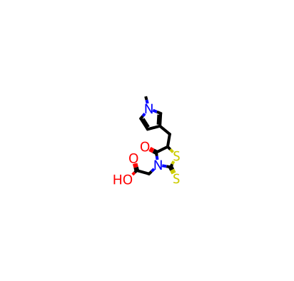 Cn1ccc(CC2SC(=S)N(CC(=O)O)C2=O)c1